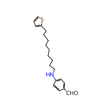 O=Cc1ccc(NCCCCCCCCCc2cccs2)cc1